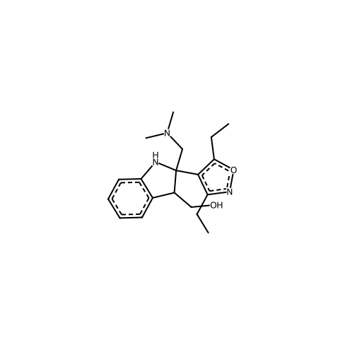 CCc1noc(CC)c1C1(CN(C)C)Nc2ccccc2C1CO